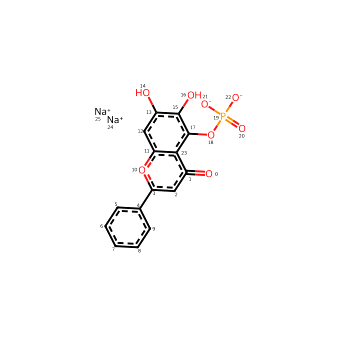 O=c1cc(-c2ccccc2)oc2cc(O)c(O)c(OP(=O)([O-])[O-])c12.[Na+].[Na+]